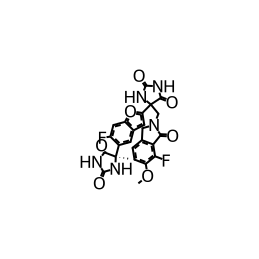 COc1ccc2c(c1F)C(=O)N(CC1(c3cc4cc([C@@]5(C)NC(=O)NC5=O)c(F)cc4o3)NC(=O)NC1=O)C2